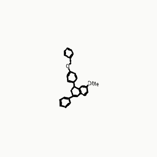 COc1ccc2c(c1)C(c1ccc(OCc3ccccc3)cc1)CC(c1ccccc1)=C2